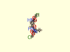 C[C@@H](C(=O)Nc1cc(C2CCC2)nn1C(=O)OCCCl)c1ccc(NC(=O)OCCCl)cc1